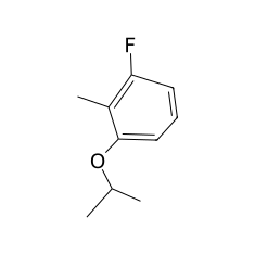 Cc1c(F)cccc1OC(C)C